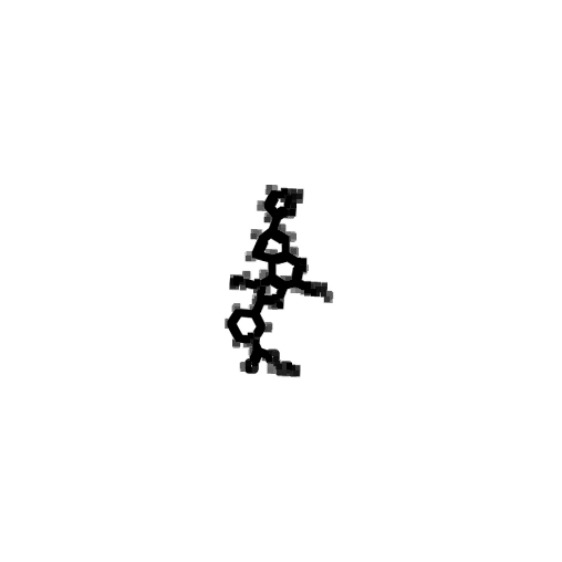 CC(C)n1c(C2CCCN(C(=O)OC(C)(C)C)C2)nc2c(N)nc3cc(-c4cc[nH]n4)ccc3c21